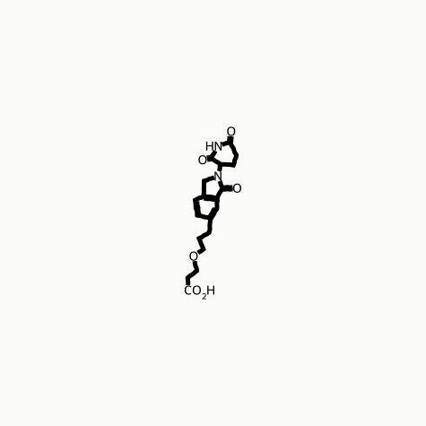 O=C(O)CCOCCCc1ccc2c(c1)C(=O)N(C1CCC(=O)NC1=O)C2